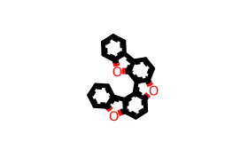 c1ccc2c(c1)oc1c2ccc2oc3ccc4oc5ccccc5c4c3c21